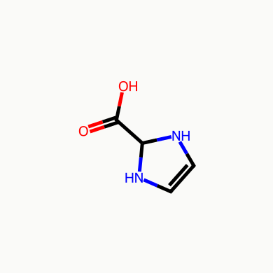 O=C(O)C1NC=CN1